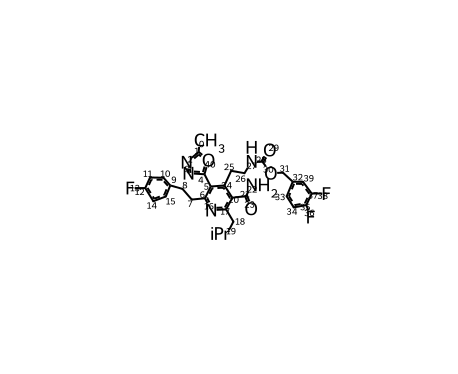 Cc1nnc(-c2c(CCc3ccc(F)cc3)nc(CC(C)C)c(C(N)=O)c2CCNC(=O)OCc2ccc(F)c(F)c2)o1